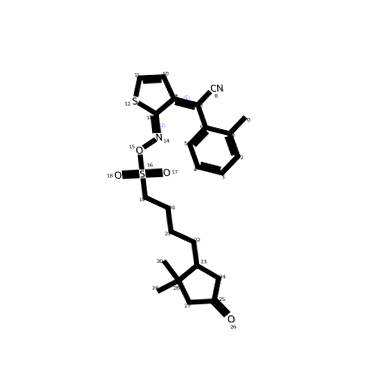 Cc1ccccc1/C(C#N)=C1/C=CS/C1=N\OS(=O)(=O)CCCCC1CC(=O)CC1(C)C